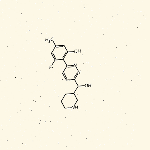 Cc1cc(O)c(-c2ccc(C(O)C3CCCNC3)nn2)c(F)c1